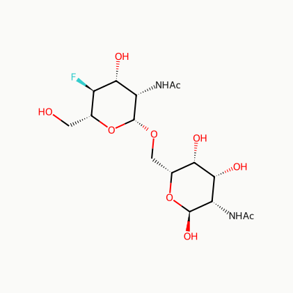 CC(=O)N[C@@H]1[C@H](OC[C@H]2O[C@H](O)[C@@H](NC(C)=O)[C@@H](O)[C@H]2O)O[C@H](CO)[C@@H](F)[C@@H]1O